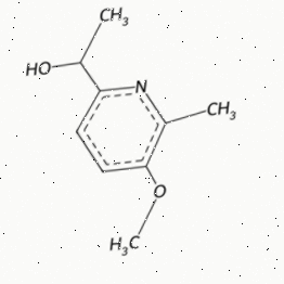 COc1ccc(C(C)O)nc1C